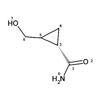 NC(=O)[C@H]1CC1CO